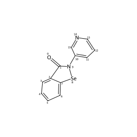 O=c1c2ccccc2[se]n1-c1cccnc1